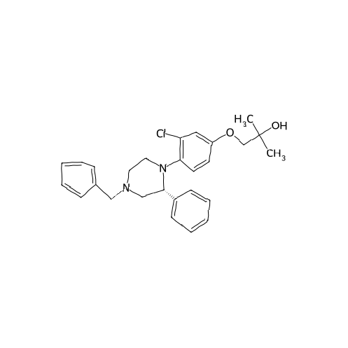 CC(C)(O)COc1ccc(N2CCN(Cc3ccccc3)C[C@H]2c2ccccc2)c(Cl)c1